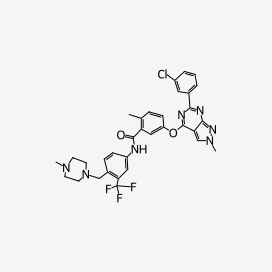 Cc1ccc(Oc2nc(-c3cccc(Cl)c3)nc3nn(C)cc23)cc1C(=O)Nc1ccc(CN2CCN(C)CC2)c(C(F)(F)F)c1